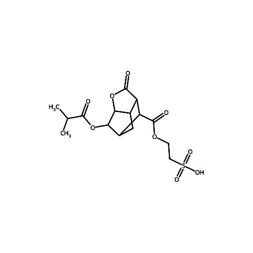 CC(C)C(=O)OC1C2CC3C1OC(=O)C3C2C(=O)OCCS(=O)(=O)O